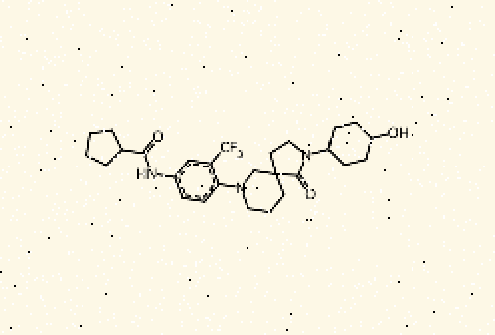 O=C(Nc1ccc(N2CCCC3(CCN(C4CCC(O)CC4)C3=O)C2)c(C(F)(F)F)c1)C1CCCC1